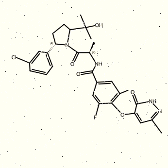 Cc1cc(Oc2c(C)cc(C(=O)N[C@H](C)C(=O)N3C(C(C)(C)O)CC[C@H]3c3cccc(Cl)c3)cc2F)c(=O)[nH]n1